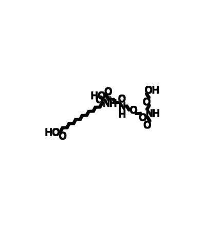 O=CC(NCCOCCO)OCCOCCNC(=O)CC[C@H](NC(=O)CCCCCCCCCCCCC(=O)O)C(=O)O